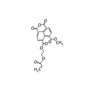 C=CC(=O)OCCOC(=O)c1ccc2c3c(ccc(C(=O)OC)c13)C(=O)OC2=O